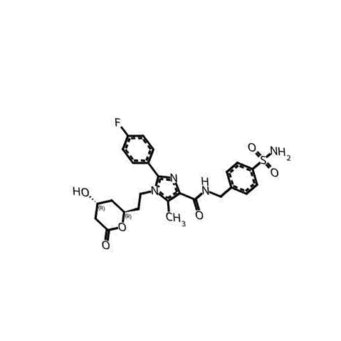 Cc1c(C(=O)NCc2ccc(S(N)(=O)=O)cc2)nc(-c2ccc(F)cc2)n1CC[C@@H]1C[C@@H](O)CC(=O)O1